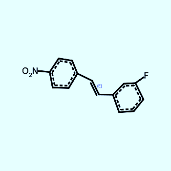 O=[N+]([O-])c1ccc(/C=C/c2cccc(F)c2)cc1